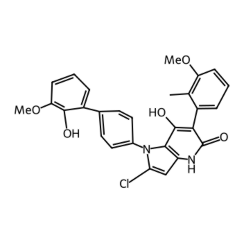 COc1cccc(-c2c(O)c3c(cc(Cl)n3-c3ccc(-c4cccc(OC)c4O)cc3)[nH]c2=O)c1C